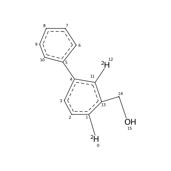 [2H]c1ccc(-c2ccccc2)c([2H])c1CO